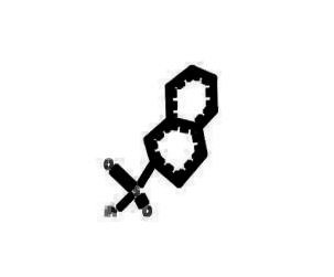 CC(C)S(=O)(=O)c1ccc2ccccc2c1